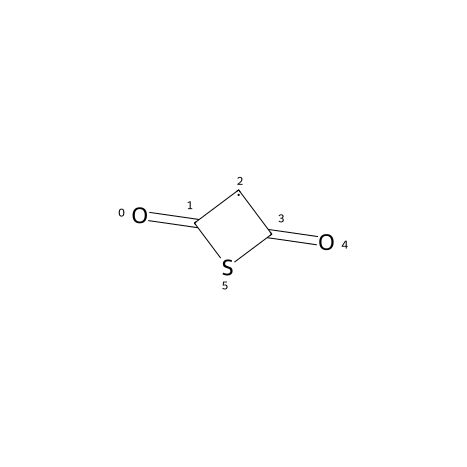 O=C1[CH]C(=O)S1